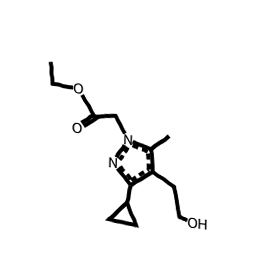 CCOC(=O)Cn1nc(C2CC2)c(CCO)c1C